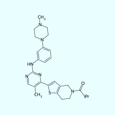 Cc1cnc(Nc2cccc(N3CCN(C)CC3)c2)nc1-c1cc2c(s1)CCN(C(=O)C(C)C)C2